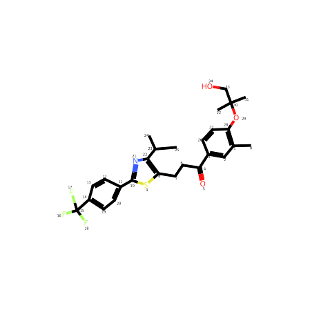 Cc1cc(C(=O)CCc2sc(-c3ccc(C(F)(F)F)cc3)nc2C(C)C)ccc1OC(C)(C)CO